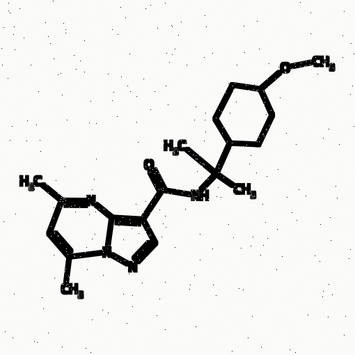 COC1CCC(C(C)(C)NC(=O)c2cnn3c(C)cc(C)nc23)CC1